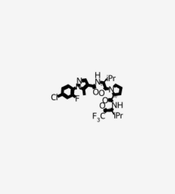 Cc1c(C(=O)N[C@H](C(=O)N2CCC[C@H]2C(=O)N[C@H](C(=O)C(F)(F)F)C(C)C)C(C)C)cnn1-c1ccc(Cl)cc1F